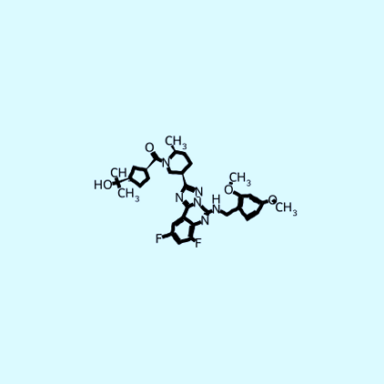 COc1ccc(CNc2nc3c(F)cc(F)cc3c3nc([C@@H]4CC[C@H](C)N(C(=O)[C@H]5CC[C@@H](C(C)(C)O)C5)C4)nn23)c(OC)c1